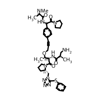 CN[C@H](C)C(=O)N[C@@H](C(=O)N1CCCC1)c1ccc(C#CCO[C@H](C)[C@H](NC(=O)[C@H](C)CN)C(=O)N2CCC[C@H]2Cn2nnnc2Sc2ccccc2)cc1